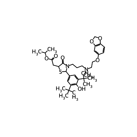 CC(C)OC(=O)CC1SC(c2cc(C(C)(C)C)c(O)c(C(C)(C)C)c2)N(CCCN(C)CCOc2ccc3c(c2)OCO3)C1=O